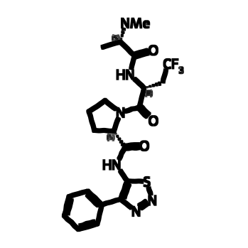 CN[C@@H](C)C(=O)N[C@H](CC(F)(F)F)C(=O)N1CCC[C@H]1C(=O)Nc1snnc1-c1ccccc1